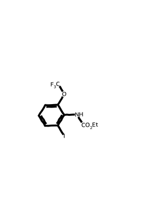 CCOC(=O)Nc1c(I)cccc1OC(F)(F)F